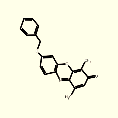 Cc1cc(=O)c(C)c2oc3cc(OCc4ccccc4)ccc3nc1-2